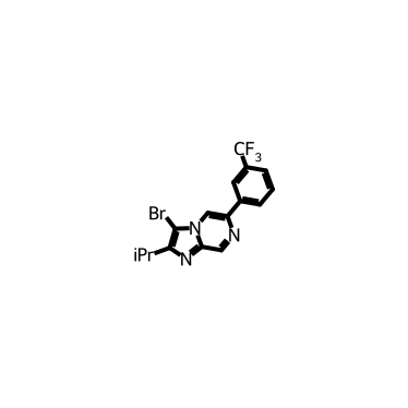 CC(C)c1nc2cnc(-c3cccc(C(F)(F)F)c3)cn2c1Br